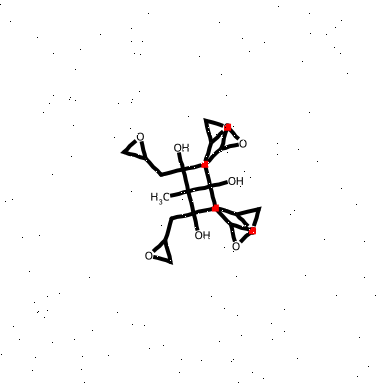 CC(C(O)(CC1CO1)CC1CO1)(C(O)(CC1CO1)CC1CO1)C(O)(CC1CO1)CC1CO1